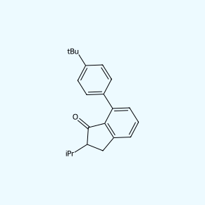 CC(C)C1Cc2cccc(-c3ccc(C(C)(C)C)cc3)c2C1=O